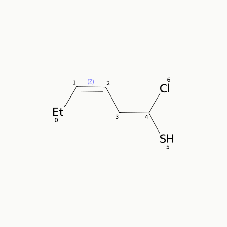 CC/C=C\CC(S)Cl